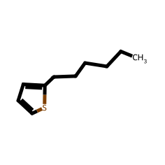 CCCCC[CH]c1cccs1